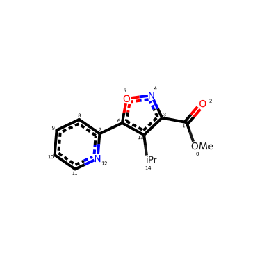 COC(=O)c1noc(-c2ccccn2)c1C(C)C